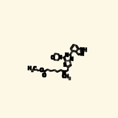 CCOC(=O)CCCCCN(C)Cc1cc2nc(-c3cccc4[nH]ncc34)nc(N3CCOCC3)c2s1